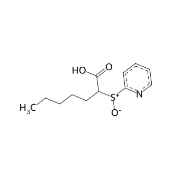 CCCCCC(C(=O)O)[S+]([O-])c1ccccn1